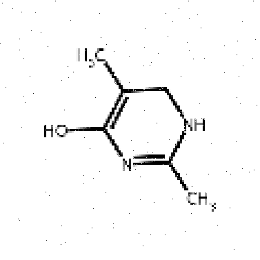 CC1=NC(O)=C(C)[CH]N1